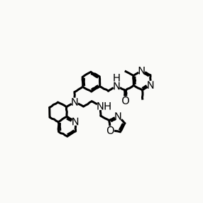 Cc1ncnc(C)c1C(=O)NCc1cccc(CN(CCNCc2ncco2)C2CCCc3cccnc32)c1